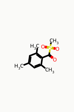 Cc1cc(C)c(C(=O)S(C)(=O)=O)c(C)c1